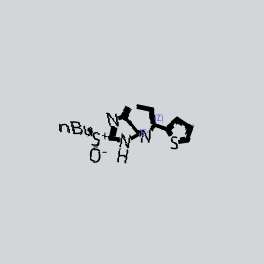 C=C1N=C([S+]([O-])CCCC)N/C1=N/C(=C\C)c1cccs1